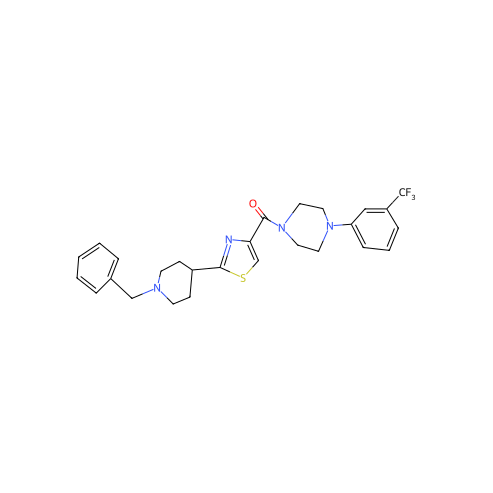 O=C(c1csc(C2CCN(Cc3ccccc3)CC2)n1)N1CCN(c2cccc(C(F)(F)F)c2)CC1